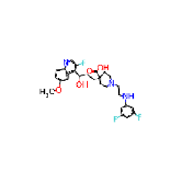 COc1ccc2ncc(F)c(C(O)CCC3(C(=O)O)CCN(CCNc4cc(F)cc(F)c4)CC3)c2c1